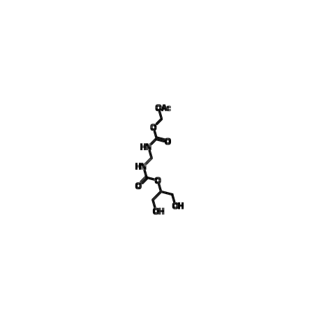 CC(=O)OCOC(=O)NCNC(=O)OC(CO)CO